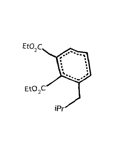 CCOC(=O)c1cccc(CC(C)C)c1C(=O)OCC